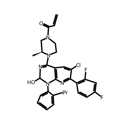 C=CC(=O)N1CCN(C2=NC(O)N(c3ccccc3C(C)C)c3nc(-c4ccc(F)cc4F)c(Cl)cc32)[C@@H](C)C1